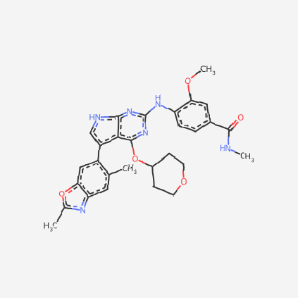 CNC(=O)c1ccc(Nc2nc(OC3CCOCC3)c3c(-c4cc5oc(C)nc5cc4C)c[nH]c3n2)c(OC)c1